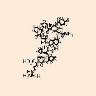 N=C(N)NCCC[C@H](NC(=O)[C@H](Cc1ccccc1)NC(=O)[C@@H]1CCCN1C(=O)[C@H](CO)NC(=O)[C@H](Cc1ccccc1)NC(=O)CNC(=O)[C@H]1CCCN1C(=O)[C@H]1CCCN1C(=O)[C@H](CCCNC(=N)N)NC(=S)Nc1ccc(F)cc1)C(=O)O